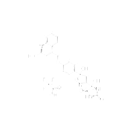 Cc1cc(COc2ccc(C3(C)CC(C4(C)NC(=O)NC4=O)=NO3)cc2)c2ccccc2n1.O=C(O)C(F)(F)F